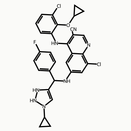 N#Cc1cnc2c(Cl)cc(NC(C3=CN(C4CC4)NN3)c3ccc(F)cc3)cc2c1Nc1cccc(Cl)c1OC1CC1